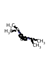 CCCCN(C/C=C/c1ccc2oc3ccc(/C=C/CN(CCCC)CCCC)cc3c2c1)CCCC